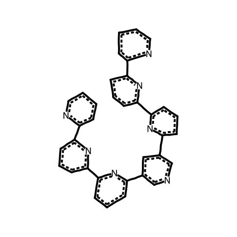 c1ccc(-c2cccc(-c3cccc(-c4cncc(-c5cccc(-c6cccc(-c7ccccn7)n6)n5)c4)n3)n2)nc1